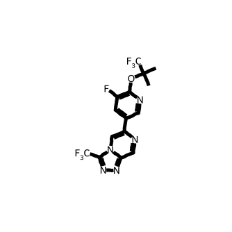 CC(C)(Oc1ncc(-c2cn3c(C(F)(F)F)nnc3cn2)cc1F)C(F)(F)F